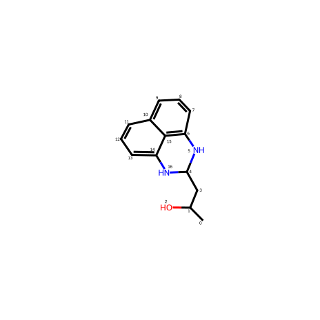 CC(O)CC1Nc2cccc3cccc(c23)N1